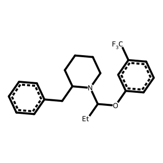 CCC(Oc1cccc(C(F)(F)F)c1)N1CCCCC1Cc1ccccc1